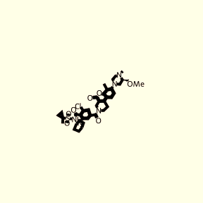 COC[C@H]1CN(c2ccc3c4c(c(=O)oc3c2C)CN(C(=O)c2cc(Cl)c(C(=O)NS(=O)(=O)C3(C)CC3)c(N3C5CCC3CC5)c2)CC4)CCN1C